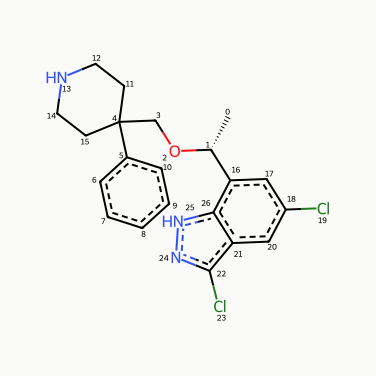 C[C@@H](OCC1(c2ccccc2)CCNCC1)c1cc(Cl)cc2c(Cl)n[nH]c12